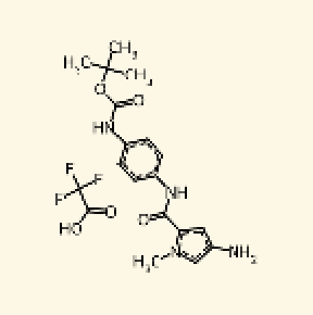 Cn1cc(N)cc1C(=O)Nc1ccc(NC(=O)OC(C)(C)C)cc1.O=C(O)C(F)(F)F